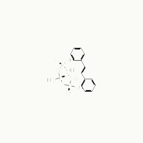 C(=Cc1ccccc1)c1ccccc1.O=P(O)(O)OP(=O)(O)OP(=O)(O)O